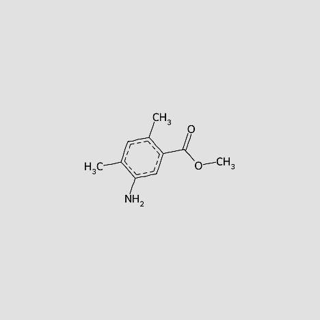 COC(=O)c1cc(N)c(C)cc1C